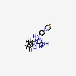 C[C@@H]1[C@H]2C[C@@H](C[C@H]1Nc1nc(Nc3ccc(N4CCSCC4)cc3)nc3[nH]cnc13)C2(C)C